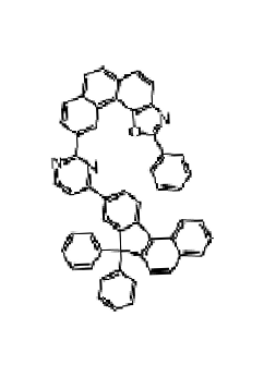 c1ccc(-c2nc3ccc4ccc5ccc(-c6nccc(-c7ccc8c(c7)C(c7ccccc7)(c7ccccc7)c7ccc9ccccc9c7-8)n6)cc5c4c3o2)cc1